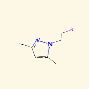 Cc1cc(C)n(CCI)n1